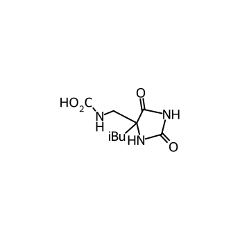 CCC(C)C1(CNC(=O)O)NC(=O)NC1=O